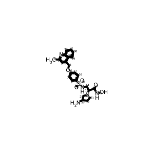 Cc1cc(COc2ccc(S(=O)(=O)NCC(C(=O)NO)N3CCC(N)C3)cc2)c2ccccc2n1